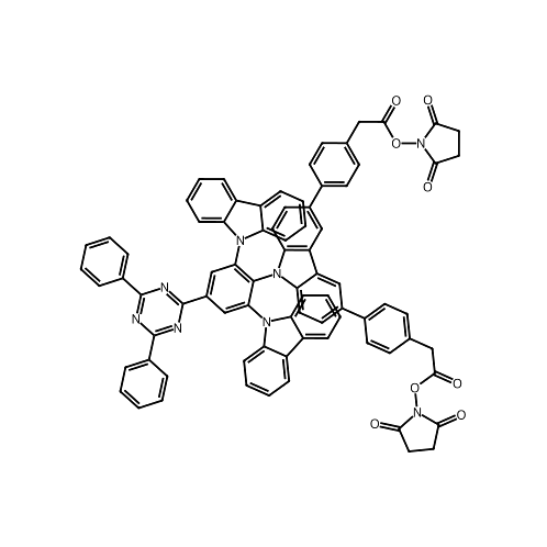 O=C(Cc1ccc(-c2ccc3c(c2)c2cc(-c4ccc(CC(=O)ON5C(=O)CCC5=O)cc4)ccc2n3-c2c(-n3c4ccccc4c4ccccc43)cc(-c3nc(-c4ccccc4)nc(-c4ccccc4)n3)cc2-n2c3ccccc3c3ccccc32)cc1)ON1C(=O)CCC1=O